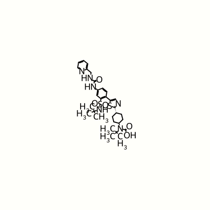 CC(C)(C)NS(=O)(=O)c1cc(NC(=O)NCc2ccccn2)ccc1-c1cnc([C@H]2CC[C@H](N(C(=O)O)C(C)(C)C)CC2)s1